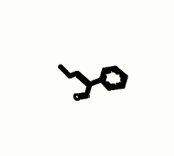 CCC=C([C]=O)c1ccccc1